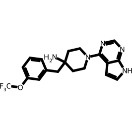 NC1(Cc2cccc(OC(F)(F)F)c2)CCN(c2ncnc3[nH]ccc23)CC1